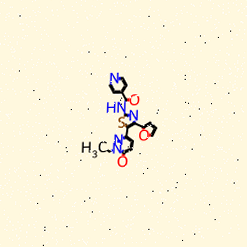 CCn1nc(-c2sc(NC(=O)c3ccncc3)nc2-c2ccco2)ccc1=O